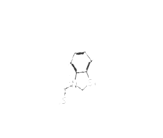 [S]CN1CSc2ccccc21